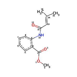 COC(=O)c1ccccc1NC(=O)C=C(C)C